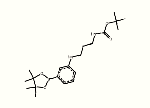 CC(C)(C)OC(=O)NCCCNc1cccc(B2OC(C)(C)C(C)(C)O2)c1